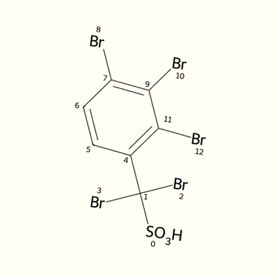 O=S(=O)(O)C(Br)(Br)c1ccc(Br)c(Br)c1Br